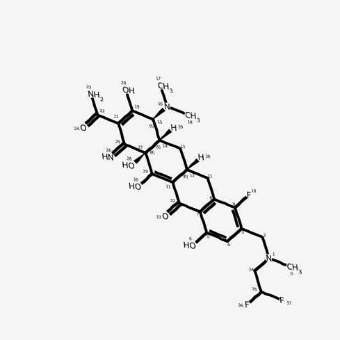 CN(Cc1cc(O)c2c(c1F)C[C@H]1C[C@H]3[C@H](N(C)C)C(O)=C(C(N)=O)C(=N)[C@@]3(O)C(O)=C1C2=O)CC(F)F